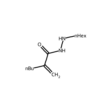 C=C(CCCC)C(=O)NNCCCCCC